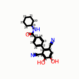 N#Cc1cc(O)c(O)c(C#N)c1-c1ccc(C(=O)NC2CCCCC2)cc1